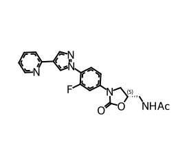 CC(=O)NC[C@H]1CN(c2ccc(-n3cc(-c4ccccn4)cn3)c(F)c2)C(=O)O1